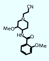 COc1ccccc1C(=O)NC1CCN(CCC#N)CC1OC